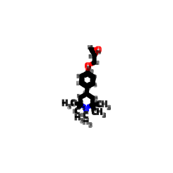 CN1C(C)(C)CC(c2ccc(OCC3CO3)cc2)CC1(C)C